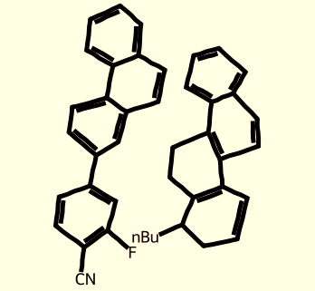 CCCCC1CC=CC2=C1CCc1c2ccc2ccccc12.N#Cc1ccc(-c2ccc3c(ccc4ccccc43)c2)cc1F